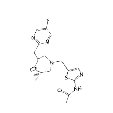 CC(=O)Nc1ncc(CN2CC(Cc3ncc(F)cn3)O[C@@H](C)C2)s1